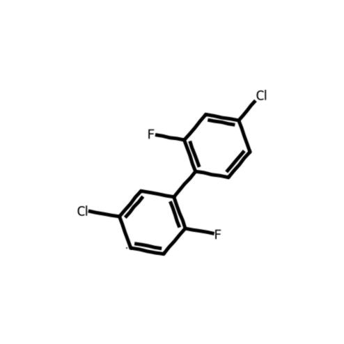 Fc1cc(Cl)ccc1-c1cc(Cl)[c]cc1F